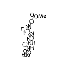 COC(=O)c1ccc(-n2cc(-c3cc4nc(N[C@@H]5CCCC[C@@H]5NC(=O)OC(C)(C)C)ccn4n3)c(C(F)F)n2)cc1